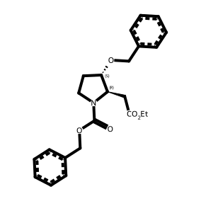 CCOC(=O)C[C@@H]1[C@@H](OCc2ccccc2)CCN1C(=O)OCc1ccccc1